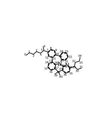 CCCCCC(C)c1ccc2c(c1)-c1cccc3c1N(c1ccccc1-2)c1nc(C(CC)CCC)ccc1C3(C)C